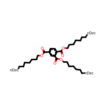 CCCCCCCCCCCCCCCCCOC(=O)c1ccc(C(=O)OCCCCCCCCCCCCCCCCC)c(C(=O)OCCCCCCCCCCCCCCCCC)c1